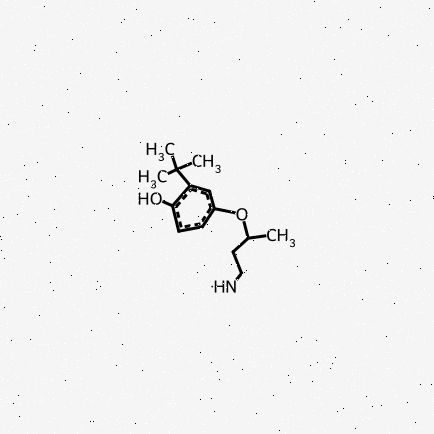 CC(CC[NH])Oc1ccc(O)c(C(C)(C)C)c1